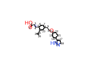 O=C(O)/C=C/c1ccc(CCOc2ccc(-c3ccn[nH]3)cc2)cc1C1CC1